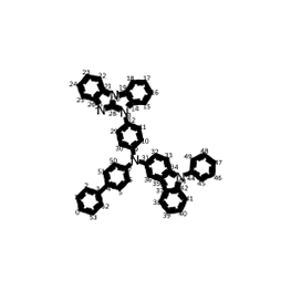 c1ccc(-c2ccc(N(c3ccc(-n4c5ccccc5n5c6ccccc6nc45)cc3)c3ccc4c(c3)c3ccccc3n4-c3ccccc3)cc2)cc1